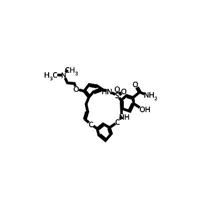 CN(C)CCOc1ccc2cc1C/C=C/Cc1cccc(c1)CNc1cc(O)c(C(N)=O)cc1S(=O)(=O)N2